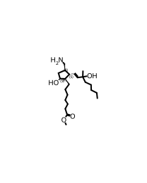 CCCCCC(C)(O)C=C[C@H]1[C@H](CN)C[C@H](O)[C@@H]1CCCCCCC(=O)OC